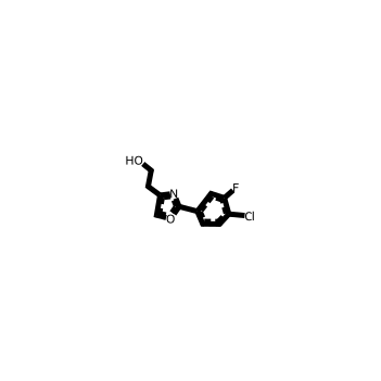 OCCc1coc(-c2ccc(Cl)c(F)c2)n1